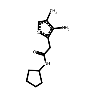 Cc1csc(CC(=O)NC2CCCC2)c1N